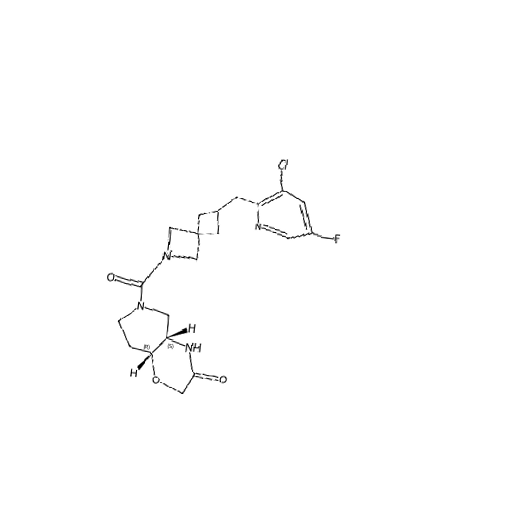 O=C1CO[C@@H]2CCN(C(=O)N3CC4(CC(Cc5ncc(F)cc5Cl)C4)C3)C[C@@H]2N1